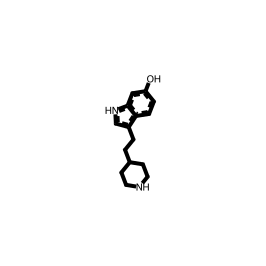 Oc1ccc2c(CCC3CCNCC3)c[nH]c2c1